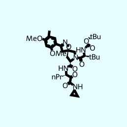 CCC[C@H](NC(=O)[C@@H]1C[C@]2(CC(c3cc(C)c(OC)cc3OC)=NO2)CN1C(=O)[C@@H](NC(=O)OC(C)(C)C)C(C)(C)C)C(=O)C(=O)NC1CC1